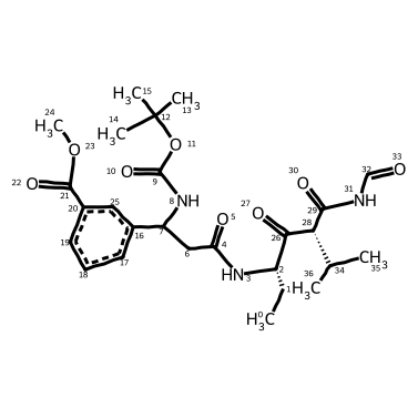 CC[C@H](NC(=O)CC(NC(=O)OC(C)(C)C)c1cccc(C(=O)OC)c1)C(=O)[C@H](C(=O)NC=O)C(C)C